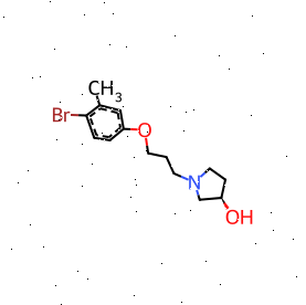 Cc1cc(OCCCN2CC[C@@H](O)C2)ccc1Br